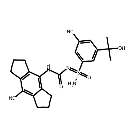 CC(C)(O)c1cc(C#N)cc([S@@](N)(=O)=NC(=O)Nc2c3c(c(C#N)c4c2CCC4)CCC3)c1